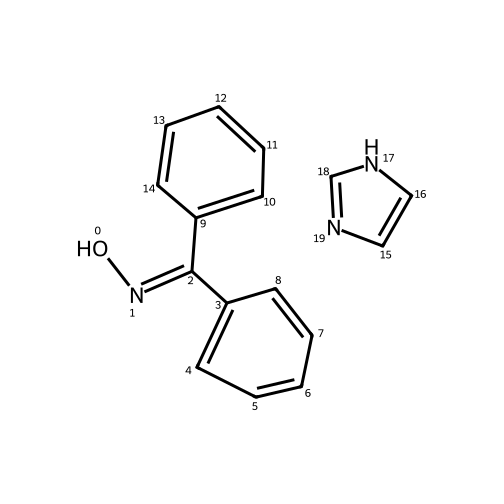 ON=C(c1ccccc1)c1ccccc1.c1c[nH]cn1